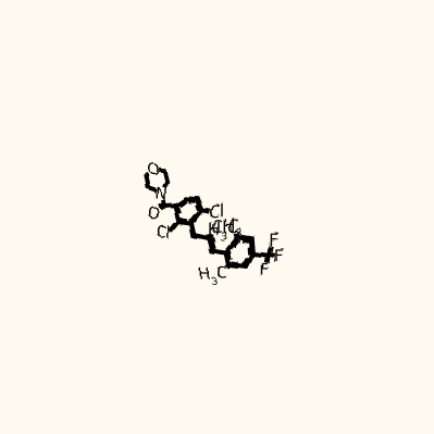 C/C(=C\c1c(C)cc(C(F)(F)F)cc1C)Cc1c(Cl)ccc(C(=O)N2CCOCC2)c1Cl